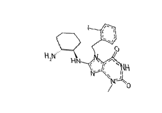 Cn1c(=O)[nH]c(=O)c2c1nc(N[C@@H]1CCCC[C@H]1N)n2Cc1ccccc1I